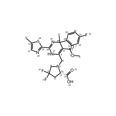 COC(=O)C1=C(CN2CC(F)(F)C[C@H]2C(=O)O)NC(c2ncc(C)s2)=NC1(C)c1ccc(F)cc1